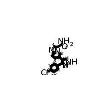 NC(=O)c1cnc2ccc(-c3c[nH]nc3-c3ccc(Cl)cc3)cn12